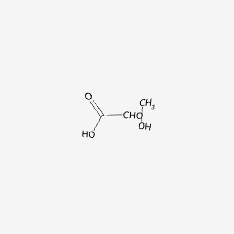 CO.O=CC(=O)O